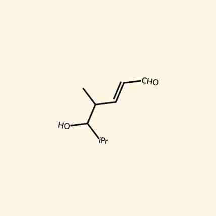 CC(C)C(O)C(C)C=CC=O